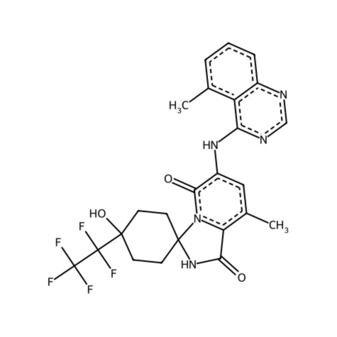 Cc1cc(Nc2ncnc3cccc(C)c23)c(=O)n2c1C(=O)NC21CCC(O)(C(F)(F)C(F)(F)F)CC1